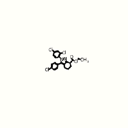 CCOC(=O)C1CCCc2c1nn(-c1ccc(Cl)cc1Cl)c2-c1ccc(Cl)cc1